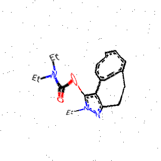 CCN(CC)C(=O)Oc1c2c(nn1CC)CCc1ccccc1-2